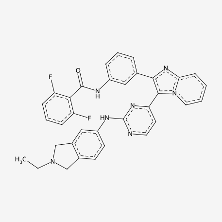 CCN1Cc2ccc(Nc3nccc(-c4c(-c5cccc(NC(=O)c6c(F)cccc6F)c5)nc5ccccn45)n3)cc2C1